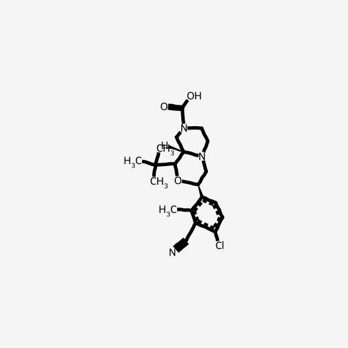 Cc1c([C@@H]2CN3CCN(C(=O)O)C[C@H]3C(C(C)(C)C)O2)ccc(Cl)c1C#N